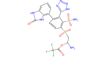 NC(CS(=O)(=O)c1ccc(-c2cccc3[nH]c(=O)[nH]c23)c(-c2nnn[nH]2)c1S(N)(=O)=O)OC(=O)C(F)(F)F